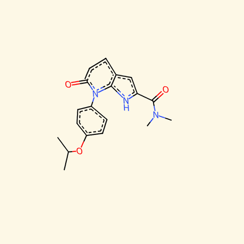 CC(C)Oc1ccc(-n2c(=O)ccc3cc(C(=O)N(C)C)[nH]c32)cc1